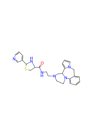 O=C(NCCN1CCN2c3ccccc3Cn3cccc3C2C1)C1CSC(c2cccnc2)N1